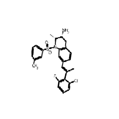 C/C(=C\c1ccc2c(c1)N(S(=O)(=O)c1cccc(C(F)(F)F)c1)[C@H](C)[C@H](N)C2)c1c(F)cccc1Cl